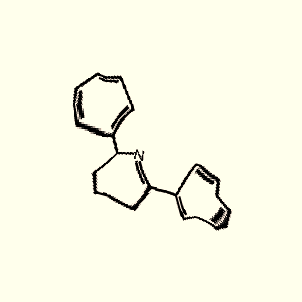 c1ccc(C2=NC(c3ccccc3)CCC2)cc1